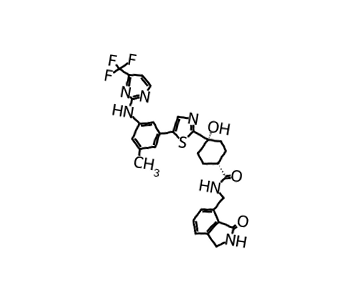 Cc1cc(Nc2nccc(C(F)(F)F)n2)cc(-c2cnc([C@]3(O)CC[C@@H](C(=O)NCc4cccc5c4C(=O)NC5)CC3)s2)c1